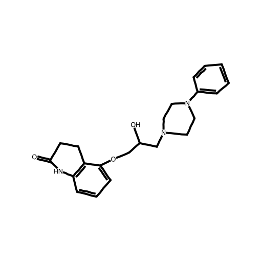 O=C1CCc2c(cccc2OCC(O)CN2CCN(c3ccccc3)CC2)N1